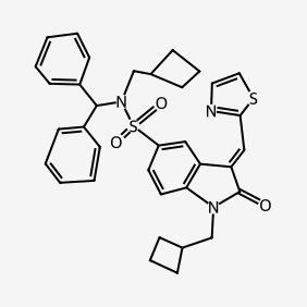 O=C1/C(=C/c2nccs2)c2cc(S(=O)(=O)N(CC3CCC3)C(c3ccccc3)c3ccccc3)ccc2N1CC1CCC1